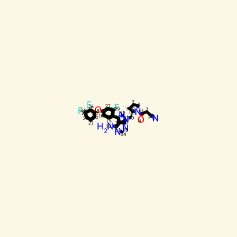 N#CCC(=O)N1CCC[C@@H]1Cn1nc(-c2ccc(Oc3cccc(F)c3F)cc2F)c2c(N)ncnc21